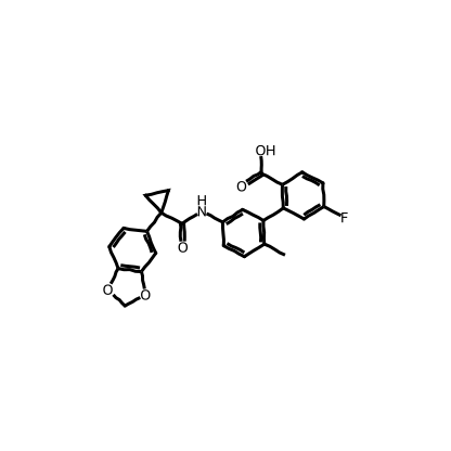 Cc1ccc(NC(=O)C2(c3ccc4c(c3)OCO4)CC2)cc1-c1cc(F)ccc1C(=O)O